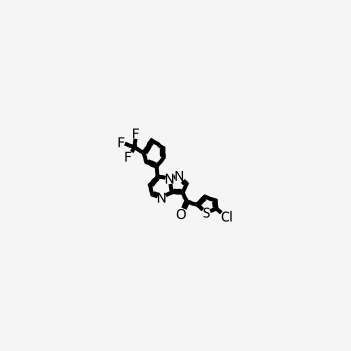 O=C(c1ccc(Cl)s1)c1cnn2c(-c3cccc(C(F)(F)F)c3)ccnc12